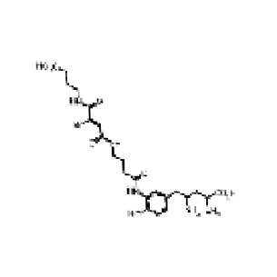 CC(C[C@@H](N)Cc1ccc(O)c(NC(=O)CCCNC(=O)/C=C(\Br)C(=O)NCCCC(=O)O)c1)C(=O)O